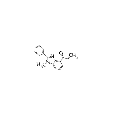 C=CC(=O)c1cccc2c1nc(-c1ccccc1)n2C